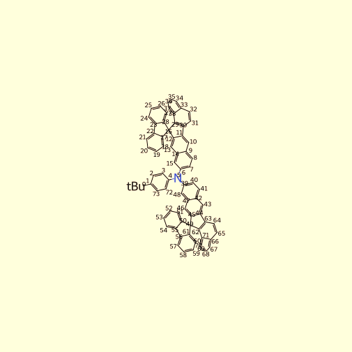 CC(C)(C)c1ccc(N(c2ccc3cc4c(cc3c2)C2(c3ccccc3-c3ccccc32)c2c-4ccc3ccccc23)c2ccc3cc4c(cc3c2)C2(c3ccccc3-c3ccccc32)c2c-4ccc3ccccc23)cc1